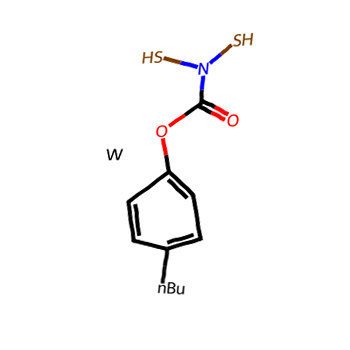 CCCCc1ccc(OC(=O)N(S)S)cc1.[W]